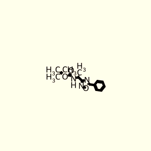 C[C@H](NC(=O)OC(C)(C)C)c1noc(-c2ccccc2)n1